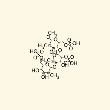 COC1OC(COS(=O)(=O)O)C(OC2O[C@@H](C)[C@@H](OC3OC(COS(=O)(=O)O)C(O)[C@H](O)[C@@H]3C)C(O)C2OS(=O)(=O)O)[C@H](O)[C@@H]1C